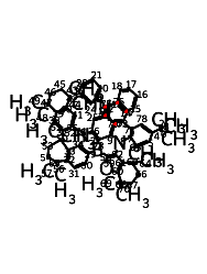 CC(C)(C)c1ccc(N2c3cc(N(c4ccccc4)c4ccccc4)cc4c3B(c3ccc5c(c3N4c3ccc4c(c3)C(C)(C)CCC4(C)C)C(C)(C)CCC5(C)C)c3oc4c(c32)C(C)(C)CCC4(C)C)c(-c2ccccc2)c1